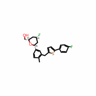 Cc1ccc([C@H]2C[C@@H](F)C[C@@H](CO)O2)cc1Cc1ccc(-c2ccc(F)cc2)s1